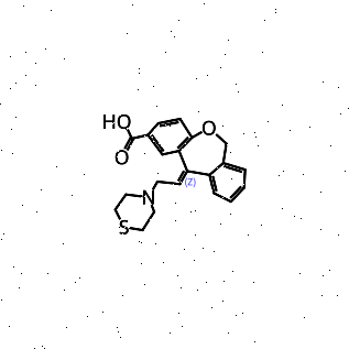 O=C(O)c1ccc2c(c1)/C(=C\CN1CCSCC1)c1ccccc1CO2